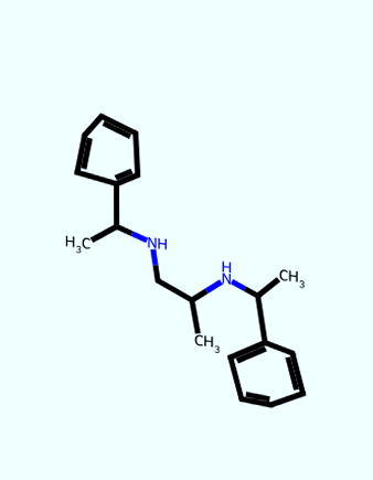 CC(CNC(C)c1ccccc1)NC(C)c1ccccc1